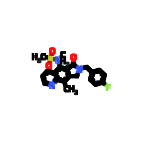 Cc1c2c(c(N(C)S(C)(=O)=O)c3cccnc13)C(=O)N(Cc1ccc(F)cc1)C2